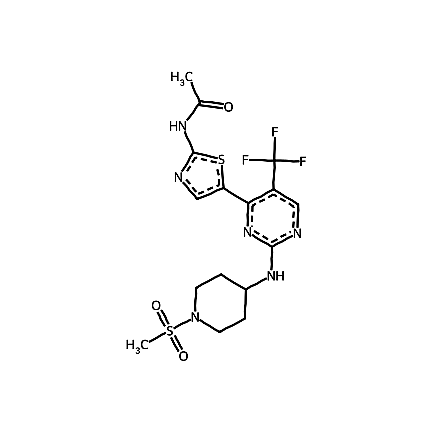 CC(=O)Nc1ncc(-c2nc(NC3CCN(S(C)(=O)=O)CC3)ncc2C(F)(F)F)s1